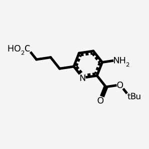 CC(C)(C)OC(=O)c1nc(CCCC(=O)O)ccc1N